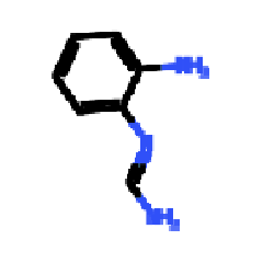 N/C=N/c1ccccc1N